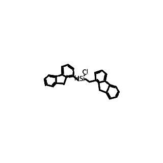 Cl[SiH](Cc1cccc2c1Cc1ccccc1-2)Cc1cccc2c1Cc1ccccc1-2